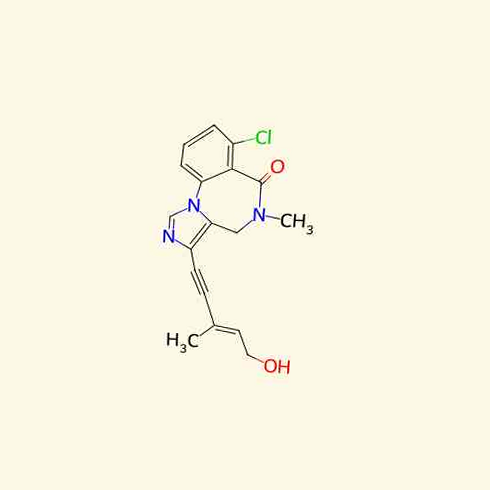 CC(C#Cc1ncn2c1CN(C)C(=O)c1c(Cl)cccc1-2)=CCO